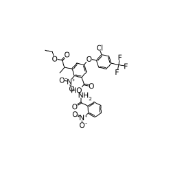 CCOC(=O)C(C)c1cc(Oc2ccc(C(F)(F)F)cc2Cl)cc(C(=O)O)c1[N+](=O)[O-].NC(=O)c1ccccc1[N+](=O)[O-]